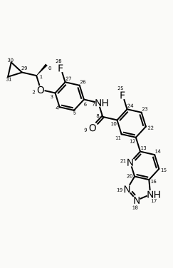 C[C@@H](Oc1ccc(NC(=O)c2cc(-c3ccc4[nH]nnc4n3)ccc2F)cc1F)C1CC1